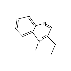 CCc1cnc2ccccc2[n+]1C